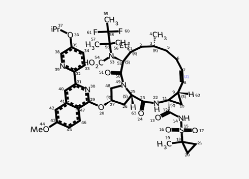 CC[C@@H]1C[C@H](C)CC/C=C\[C@@H]2C[C@@]2(C(=O)NS(=O)(=O)C2(C)CC2)NC(=O)[C@@H]2C[C@@H](Oc3nc(-c4ccc(OC(C)C)cn4)cc4cc(OC)ccc34)CN2C(=O)[C@H]1N(C(=O)O)C(C)(C)C(C)(F)F